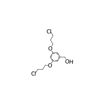 OCc1cc(OCCCCl)cc(OCCCCl)c1